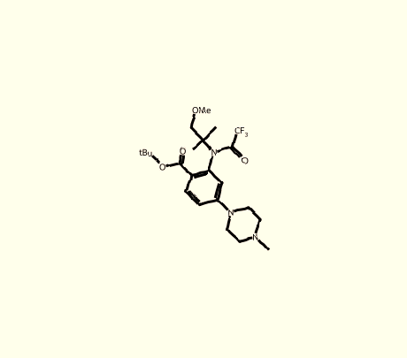 COCC(C)(C)N(C(=O)C(F)(F)F)c1cc(N2CCN(C)CC2)ccc1C(=O)OC(C)(C)C